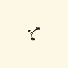 OOO.[Pr]